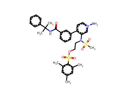 Cc1cc(C)c(S(=O)(=O)OCCN(c2c[n+](N)ccc2-c2cccc(C(=O)NC(C)(C)c3ccccc3)c2)S(C)(=O)=O)c(C)c1